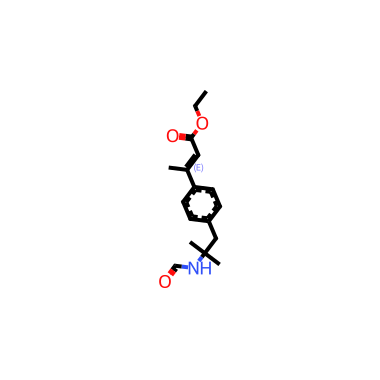 CCOC(=O)/C=C(\C)c1ccc(CC(C)(C)NC=O)cc1